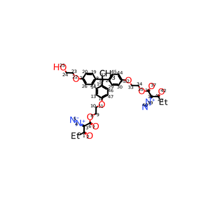 CCC(=O)C(=[N+]=[N-])C(=O)OCCOc1ccc(C(C)(c2ccc(OCCO)cc2)c2ccc(OCCOC(=O)C(=[N+]=[N-])C(=O)CC)cc2)cc1